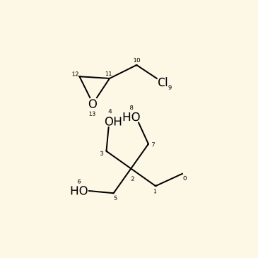 CCC(CO)(CO)CO.ClCC1CO1